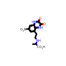 CC(NCCc1cc([N+](=O)[O-])cc2[nH]c(=O)c(=O)[nH]c12)C(=O)O